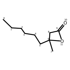 CCCCCCC1(C)CC(=O)O1